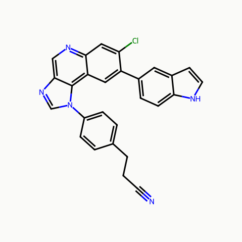 N#CCCc1ccc(-n2cnc3cnc4cc(Cl)c(-c5ccc6[nH]ccc6c5)cc4c32)cc1